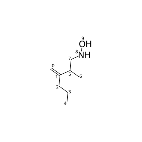 C=C(CCC)C(C)CNO